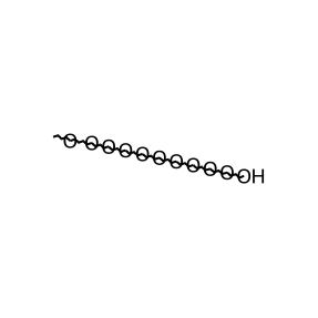 CCCCOCCCCOCCCOCCCOCCCOCCCOCCCOCCCOCCCOCCCOCCCO